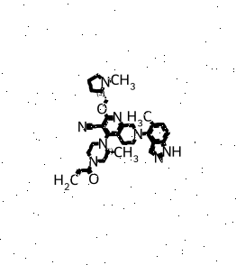 C=CC(=O)N1CCN(c2c(C#N)c(OC[C@@H]3CCCN3C)nc3c2CCN(c2c(C)ccc4[nH]ncc24)C3)[C@@H](C)C1